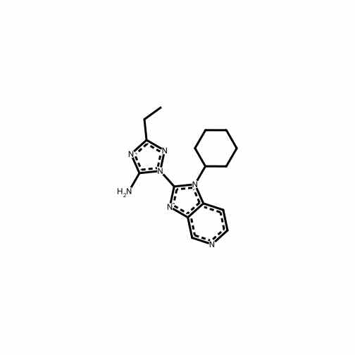 CCc1nc(N)n(-c2nc3cnccc3n2C2CCCCC2)n1